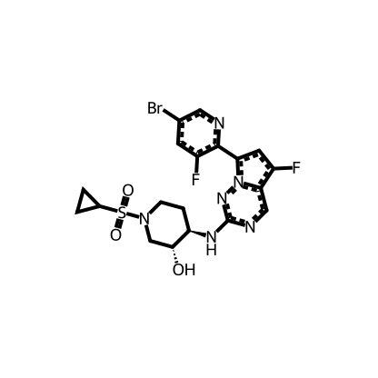 O=S(=O)(C1CC1)N1CC[C@@H](Nc2ncc3c(F)cc(-c4ncc(Br)cc4F)n3n2)[C@H](O)C1